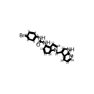 O=C(Nc1ccc(Br)cc1)Nc1cccc2c1ccn2Cc1c[nH]c2ncccc12